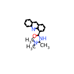 CC(NC(=O)c1cccc2cc3ccccc3nc12)N(C)C